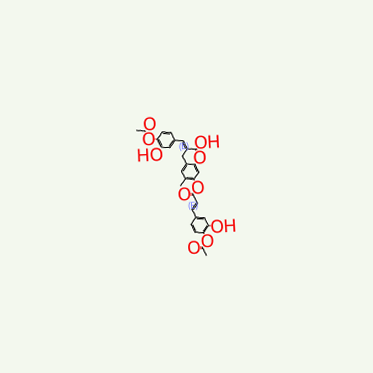 CC(=O)Oc1ccc(/C=C/C(=O)Oc2ccc(C/C(=C\c3ccc(OC(C)=O)c(O)c3)C(=O)O)cc2C)cc1O